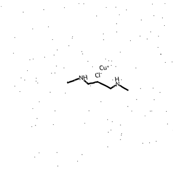 CNCCCNC.[Cl-].[Cu+]